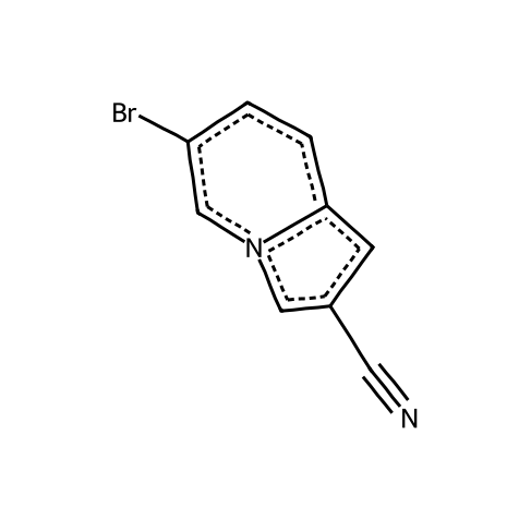 N#Cc1cc2ccc(Br)cn2c1